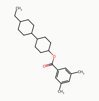 CCC1CCC(C2CCC(OC(=O)c3cc(C)cc(C)c3)CC2)CC1